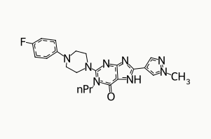 CCCn1c(N2CCN(c3ccc(F)cc3)CC2)nc2nc(-c3cnn(C)c3)[nH]c2c1=O